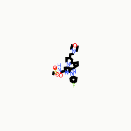 CCS(=O)(=O)NC(=O)c1cc(N2CCC(CCN3CCOCC3)CC2)c2c(C3CCC3)nn(-c3ccc(F)cc3)c2n1